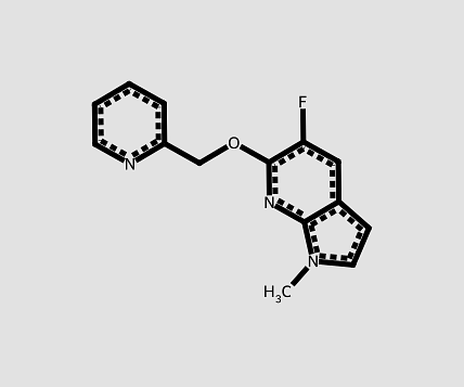 Cn1ccc2cc(F)c(OCc3ccccn3)nc21